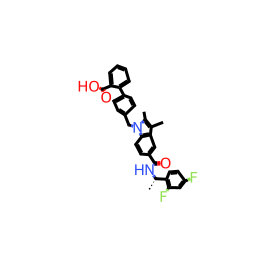 Cc1c(C)n(Cc2ccc(-c3ccccc3C(=O)O)cc2)c2ccc(C(=O)N[C@@H](C)c3ccc(F)cc3F)cc12